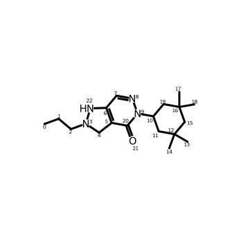 CCCN1Cc2c(cnn(C3CC(C)(C)CC(C)(C)C3)c2=O)N1